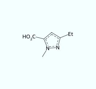 CCc1cc(C(=O)O)n(C)n1